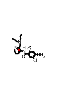 CCCN(CCC)CC1C(NC(=O)c2cc(Cl)c(N)cc2OC)C2CCN1CC2